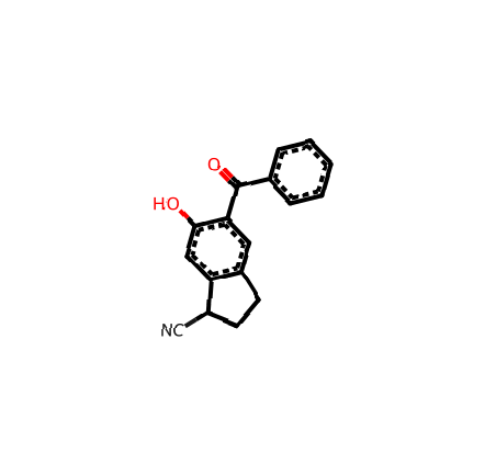 N#CC1CCc2cc(C(=O)c3ccccc3)c(O)cc21